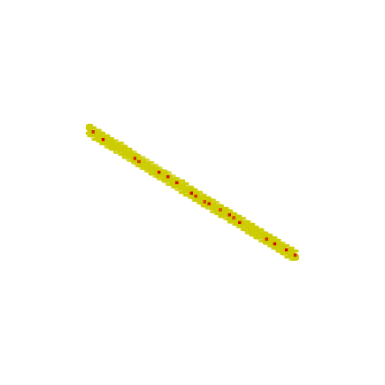 S=S=S=S=S=S=S=S=S=S=S=S=S=S=S=S=S=S=S=S=S=S=S=S=S=S=S=S=S=S=S=S=S=S=S=S=S=S=S=S=S=S=S=S=S=S=S=S=S=S=S=S=S=S=S=S=S=S=S=S=S=S=S=S=S=S=S=S=S=S=S=S=S=S=S=S=S=S=S=S=S=S=S=S=S=S=S=S=S=S=S=S=S=S=S